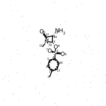 Cc1ccc(S(=O)(=O)O[C@H]2[C@@H](N)C(=O)N2C)cc1